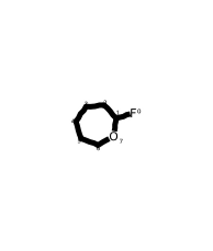 FC1CCCCCO1